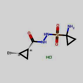 CC[C@H]1C[C@H]1C(=O)NNS(=O)(=O)C1(N)CC1.Cl